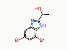 C[C@H](O)c1nc2cc(Br)cc(Br)c2[nH]1